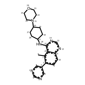 Cc1c(-c2cncnc2)ccc2ncnc(NC3CCC(N4CCOCC4)CC3)c12